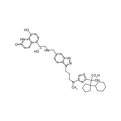 CN(CCCn1nnc2cc(CNC[C@H](O)c3ccc(O)c4[nH]c(=O)ccc34)ccc21)c1csc(C(O)(C(=O)O)C2(C3CCCCC3)CCCC2)c1